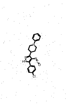 O=C=Nc1c(C2CCN(c3ccccc3)CC2)n[nH]c1-c1ccc(Cl)cc1